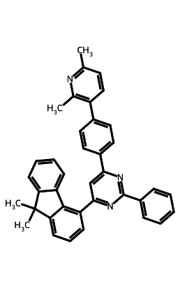 Cc1ccc(-c2ccc(-c3cc(-c4cccc5c4-c4ccccc4C5(C)C)nc(-c4ccccc4)n3)cc2)c(C)n1